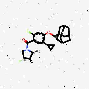 CC(=O)[C@@H]1C(C)[C@H](F)CN1C(=O)c1cc(C2CC2)c(OCC23CC4CC(CC(C4)C2)C3)cc1F